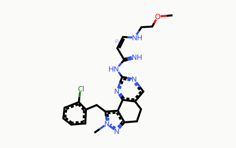 COCCN/C=C\C(=N)Nc1ncc2c(n1)-c1c(nn(C)c1Cc1ccccc1Cl)CC2